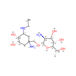 CC(C)CNC1CC(N)(CO[C@H]2OC([C@@H](C)O)[C@@H](O)C(O)[C@@H]2N)C[C@H](O)[C@@H]1O